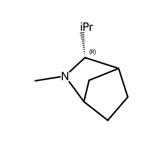 CC(C)[C@@H]1C2CCC(C2)N1C